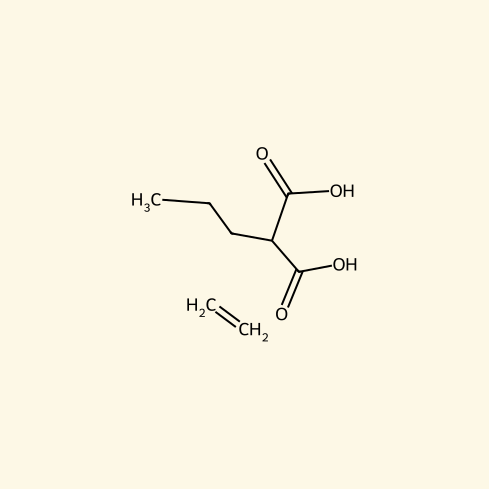 C=C.CCCC(C(=O)O)C(=O)O